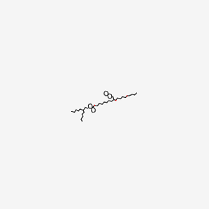 CCCCCCCCCCC(CCCCCCCCC(=O)OCCC(CCCCC)CCCCC)COC=O